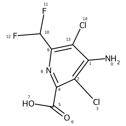 Nc1c(Cl)c(C(=O)O)nc(C(F)F)c1Cl